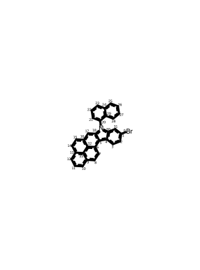 Brc1ccc2c3c4ccc5cccc6ccc(cc3n(-c3cccc7ccccc37)c2c1)c4c65